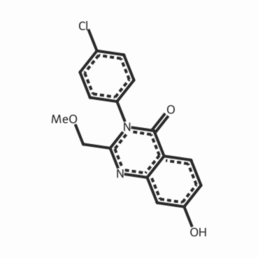 COCc1nc2cc(O)ccc2c(=O)n1-c1ccc(Cl)cc1